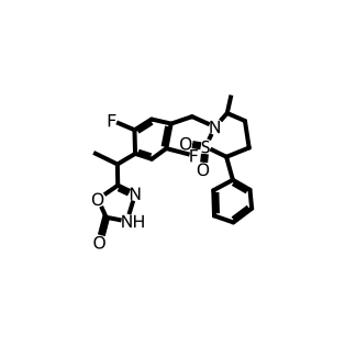 CC(c1n[nH]c(=O)o1)c1cc(F)c(CN2C(C)CCC(c3ccccc3)S2(=O)=O)cc1F